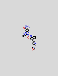 Cc1ccc(-n2nc(C(C)(C)C)cc2NC(=O)Nc2ccc(-c3ccc(CN4CCOCC4)nc3)c3ccccc23)cc1C(N)=O